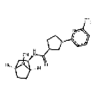 N#CN1[C@H]2CC[C@@H]1[C@H](NC(=O)C1CCN(c3cccc(C(F)(F)F)n3)C1)C2